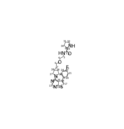 O=C(NCCOCC1C2CN(c3ncnc4scc(-c5ccc(F)cc5)c34)CC12)[C@H]1CCCN1